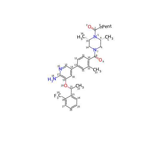 CCCCCC(=O)N1[C@H](C)CN(C(=O)c2ccc(-c3cnc(N)c(OC(C)c4ccccc4C(F)(F)F)c3)cc2C)C[C@@H]1C